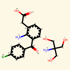 NC(CO)(CO)CO.Nc1c(CC(=O)O)cccc1C(=O)c1ccc(Br)cc1